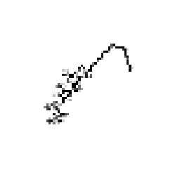 CCCCC/C=C\C/C=C\CCCCCCCC(=O)Nc1nc(Cl)nc2c1ncn2C1OC(CNP(=O)(O)CP(=O)(O)O)C(O)C1O